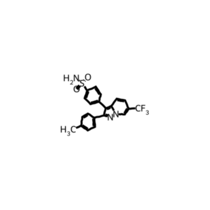 Cc1ccc(-c2nn3cc(C(F)(F)F)ccc3c2-c2ccc(S(N)(=O)=O)cc2)cc1